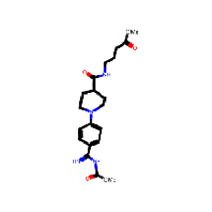 COC(=O)CCCNC(=O)C1CCN(c2ccc(C(=N)NC(=O)OC)cc2)CC1